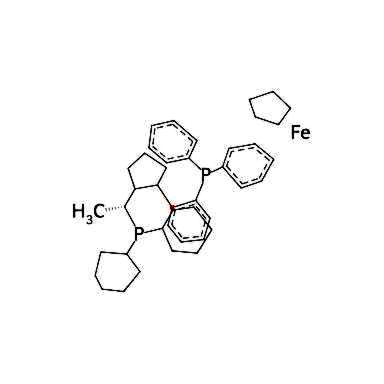 C1CCCC1.C[C@H](C1CCCC1c1ccccc1P(c1ccccc1)c1ccccc1)P(C1CCCCC1)C1CCCCC1.[Fe]